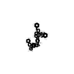 COc1ccc([C@@H]2CN(C(=O)[C@@H](Cc3ccccc3)NC(=O)OCc3ccccc3)C[C@@]2(C)[C@@H](C)O)cc1OC1CCCC1